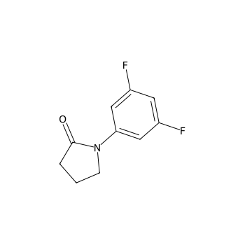 O=C1CCCN1c1cc(F)cc(F)c1